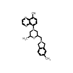 Cc1ccc2c(c1)CN(CC1CN(c3ccc(C#N)c4nccnc34)CC(C)O1)C2